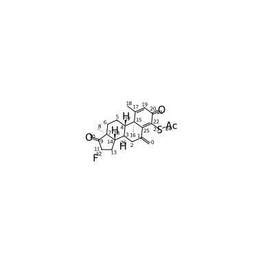 C=C1C[C@@H]2[C@H](CC[C@]3(C)C(=O)[C@@H](F)C[C@@H]23)[C@@]2(C)C(C)=CC(=O)C(SC(C)=O)=C12